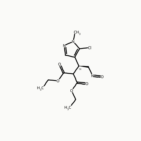 CCOC(=O)C(C(=O)OCC)[C@H](CN=O)c1cnn(C)c1Cl